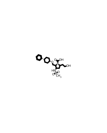 CS(=O)(=O)NC1CC(CCO)N(C(=O)O)C1CO[C@H]1CC[C@@H](c2ccccc2)CC1